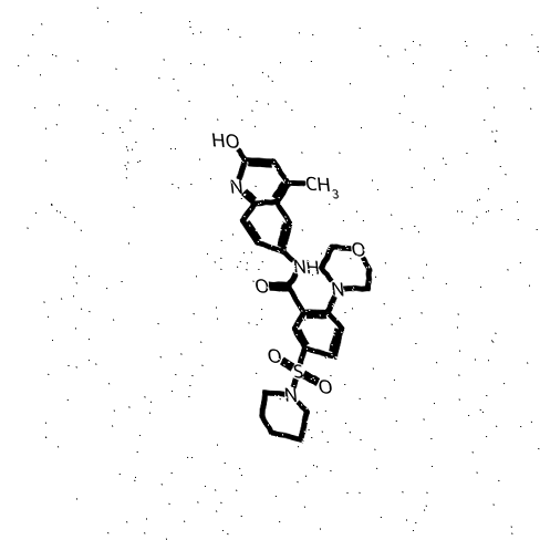 Cc1cc(O)nc2ccc(NC(=O)c3cc(S(=O)(=O)N4CCCCC4)ccc3N3CCOCC3)cc12